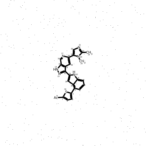 CC(=O)c1ccc(-c2cccc3[nH]c(-c4n[nH]c5cnc(-c6cnc(C)n6C)cc45)cc23)s1